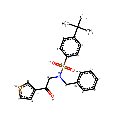 CC(C)(C)c1ccc(S(=O)(=O)N(CC(=O)c2ccsc2)Cc2ccccc2)cc1